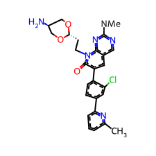 CNc1ncc2cc(-c3ccc(-c4cccc(C)n4)cc3Cl)c(=O)n(CC[C@H]3OC[C@H](N)CO3)c2n1